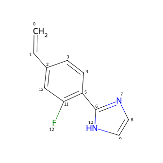 C=Cc1ccc(-c2ncc[nH]2)c(F)c1